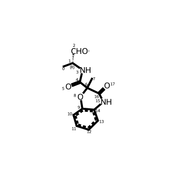 C[C@H]([C]=O)NC(=O)C1(C)Oc2ccccc2NC1=O